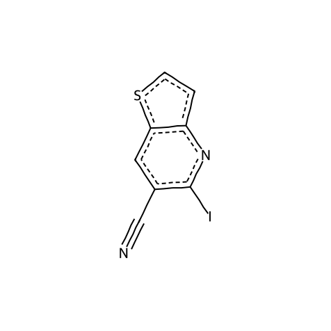 N#Cc1cc2sccc2nc1I